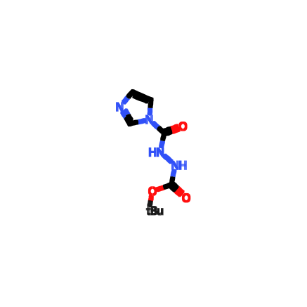 CC(C)(C)OC(=O)NNC(=O)n1ccnc1